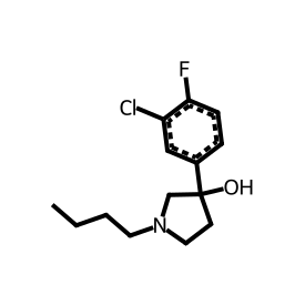 CCCCN1CCC(O)(c2ccc(F)c(Cl)c2)C1